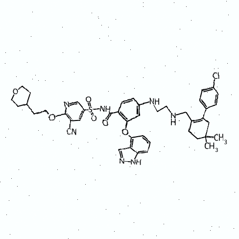 CC1(C)CCC(CNCCNc2ccc(C(=O)NS(=O)(=O)c3cnc(OCCC4CCOCC4)c(C#N)c3)c(Oc3cccc4[nH]ncc34)c2)=C(c2ccc(Cl)cc2)C1